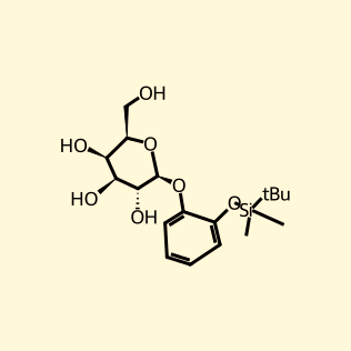 CC(C)(C)[Si](C)(C)Oc1ccccc1O[C@@H]1O[C@H](CO)[C@H](O)[C@H](O)[C@H]1O